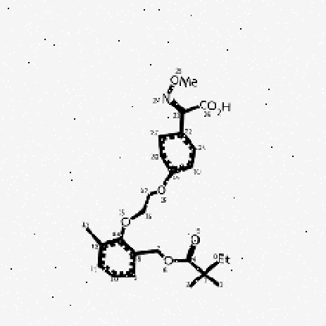 CCC(C)(C)C(=O)OCc1cccc(C)c1OCCOc1ccc(C(=NOC)C(=O)O)cc1